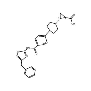 O=C(Nc1nc(Cc2ccccc2)no1)c1ccc(C2CCC([C@@H]3C[C@H]3C(=O)O)CC2)cc1